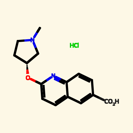 CN1CC[C@@H](Oc2ccc3cc(C(=O)O)ccc3n2)C1.Cl